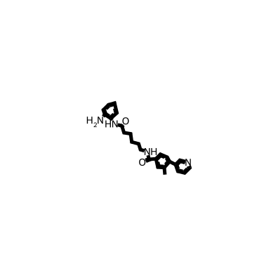 Cc1cc(C(=O)NCCCCCC(=O)Nc2ccccc2N)ccc1-c1cccnc1